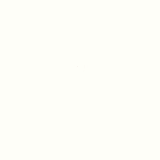 Cc1ccc2ccccc2c1S(=O)(=O)O.O=Cc1cccc2ccccc12